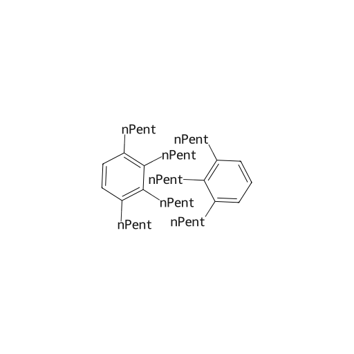 CCCCCc1ccc(CCCCC)c(CCCCC)c1CCCCC.CCCCCc1cccc(CCCCC)c1CCCCC